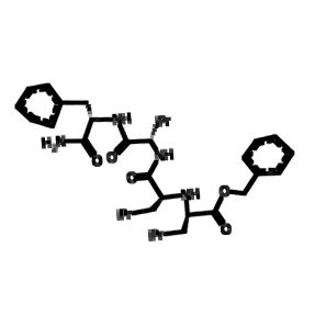 CC(C)C[C@H](N[C@H](CC(C)C)C(=O)OCc1ccccc1)C(=O)N[C@H](C(=O)N[C@@H](Cc1ccccc1)C(N)=O)C(C)C